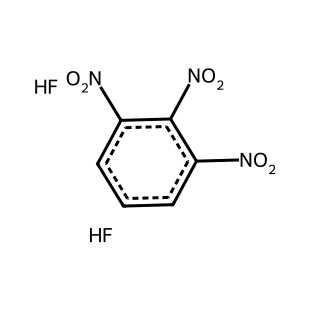 F.F.O=[N+]([O-])c1cccc([N+](=O)[O-])c1[N+](=O)[O-]